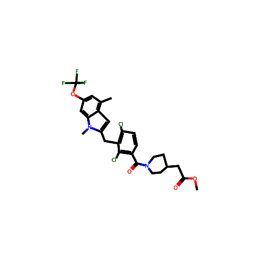 COC(=O)CC1CCN(C(=O)c2ccc(Cl)c(Cc3cc4c(C)cc(OC(F)(F)F)cc4n3C)c2Cl)CC1